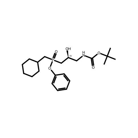 CC(C)(C)OC(=O)NC[C@H](O)CP(=O)(CC1CCCCC1)Oc1ccccc1